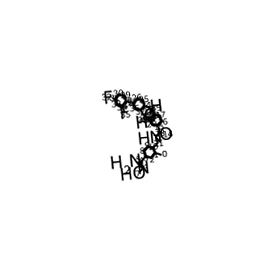 Cc1cc(C(N)=NO)ccc1CNC(=O)c1ccc2c(c1)[C@@H]1O[C@H]2c2ccc(-c3ccc(F)cc3F)cc21